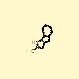 Cn1cc2cc3ccccc3c-2[nH]1